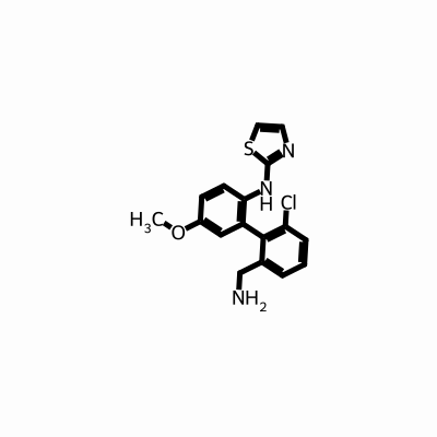 COc1ccc(Nc2nccs2)c(-c2c(Cl)cccc2CN)c1